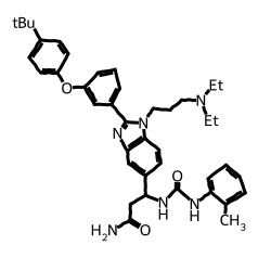 CCN(CC)CCCn1c(-c2cccc(Oc3ccc(C(C)(C)C)cc3)c2)nc2cc(C(CC(N)=O)NC(=O)Nc3ccccc3C)ccc21